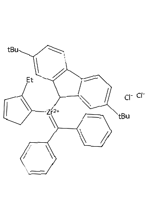 CCC1=[C]([Zr+2](=[C](c2ccccc2)c2ccccc2)[CH]2c3cc(C(C)(C)C)ccc3-c3ccc(C(C)(C)C)cc32)CC=C1.[Cl-].[Cl-]